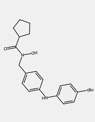 CC(C)(C)c1ccc(Nc2ccc(CN(O)C(=O)C3CCCC3)cc2)cc1